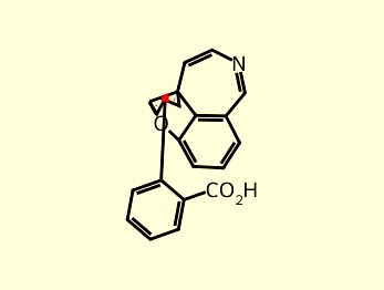 O=C(O)c1ccccc1C1=CC2Oc3cccc4c3C2(C=CN=C4)C=C1